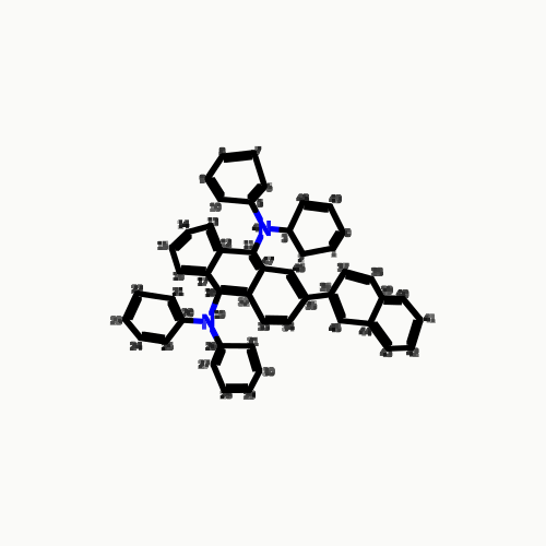 C1=CCC(N(c2ccccc2)c2c3ccccc3c(N(c3ccccc3)c3ccccc3)c3ccc(-c4ccc5ccccc5c4)cc23)C=C1